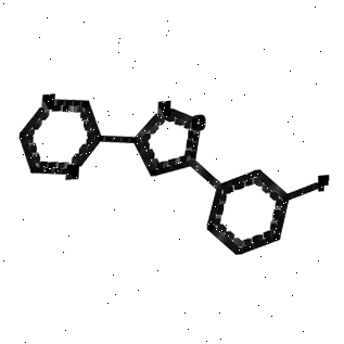 Fc1cccc(-c2cc(-c3cnccn3)no2)c1